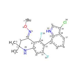 CC1(C)CC(=NOC(C)(C)C)c2c(cc(F)c(-c3cccc4c(Cl)c[nH]c34)c2F)N1